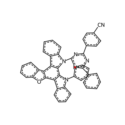 N#Cc1ccc(-c2nc(-c3ccccc3)nc(-n3c4ccccc4c4c5c6ccccc6oc5c5c6ccccc6n(-c6ccccc6)c5c43)n2)cc1